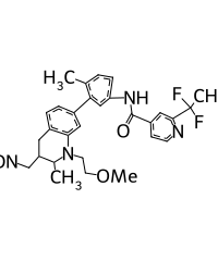 COCCN1c2cc(-c3cc(NC(=O)c4ccnc(C(C)(F)F)c4)ccc3C)ccc2CC(CN=O)C1C